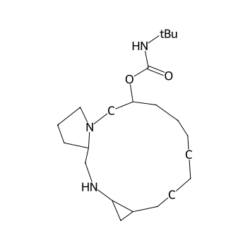 CC(C)(C)NC(=O)OC1CCCCCCCC2CC2NCC2CCCN2C1